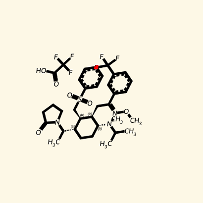 CON=C(C[C@@H]1[C@H](CS(=O)(=O)c2ccccc2)[C@@H](C(C)N2CCCC2=O)CC[C@H]1N(C)C(C)C)c1cccc(C(F)(F)F)c1.O=C(O)C(F)(F)F